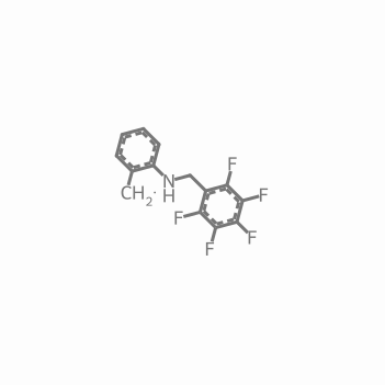 [CH2]c1ccccc1NCc1c(F)c(F)c(F)c(F)c1F